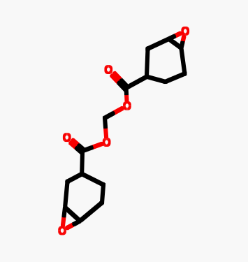 O=C(OCOC(=O)C1CCC2OC2C1)C1CCC2OC2C1